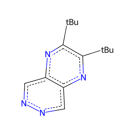 CC(C)(C)c1nc2cnncc2nc1C(C)(C)C